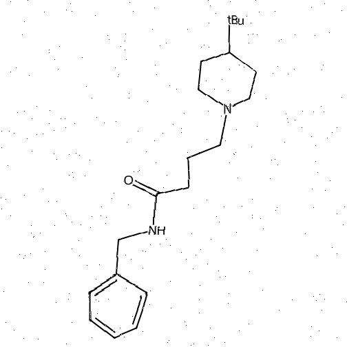 CC(C)(C)C1CCN(CCCC(=O)NCc2ccccc2)CC1